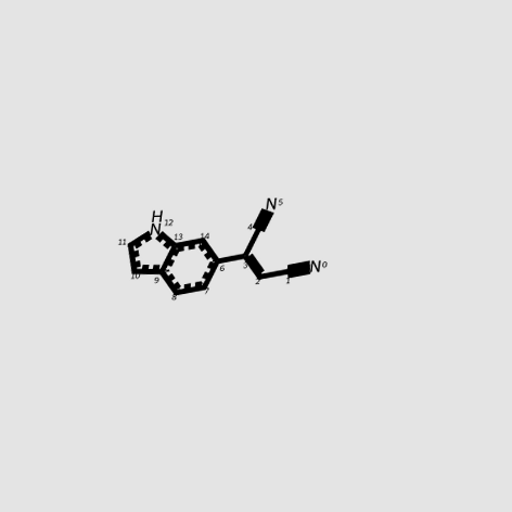 N#C/C=C(\C#N)c1ccc2cc[nH]c2c1